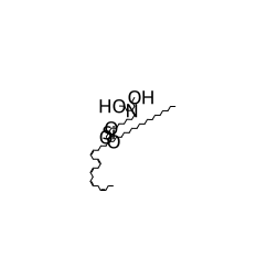 CC/C=C\C/C=C\C/C=C\C/C=C\C/C=C\CCCC(OCCCCCCCCCCCCCCCC)O[Si](C)(C)OCCCCCCN(CCO)CCO